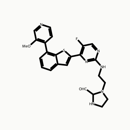 COc1cnccc1-c1cccc2cc(-c3nc(NCCN4CCNC4C=O)ncc3F)sc12